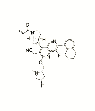 C=CC(=O)N1CC[C@@H]2[C@H]1CN2c1c(CC#N)c(OC[C@@H]2C[C@@H](F)CN2C)nc2c(F)c(-c3cccc4c3CCCC4)ncc12